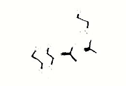 CC(=O)O.CC(=O)O.NCCN.NCCN.NCCN